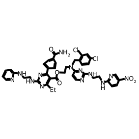 CCc1nc(NCCNc2ccccn2)nc(-c2ccc(C(N)=O)cc2)c1C(=O)OCCN(Cc1ccc(Cl)cc1Cl)c1ccnc(NCCNc2ccc([N+](=O)[O-])cn2)n1